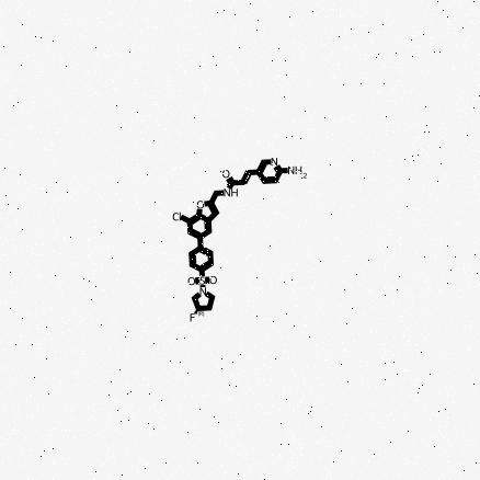 Nc1ccc(C=CC(=O)NCc2cc3cc(-c4ccc(S(=O)(=O)N5CC[C@@H](F)C5)cc4)cc(Cl)c3o2)cn1